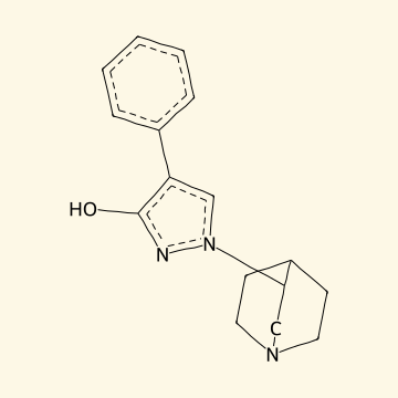 Oc1nn(C2CN3CCC2CC3)cc1-c1ccccc1